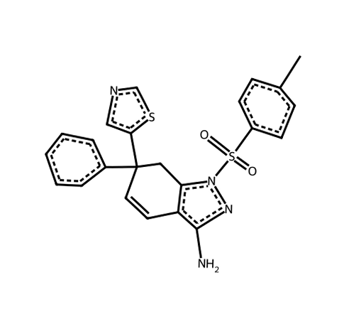 Cc1ccc(S(=O)(=O)n2nc(N)c3c2CC(c2ccccc2)(c2cncs2)C=C3)cc1